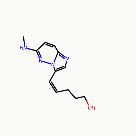 CNc1ccc2ncc(/C=C\CCCO)n2n1